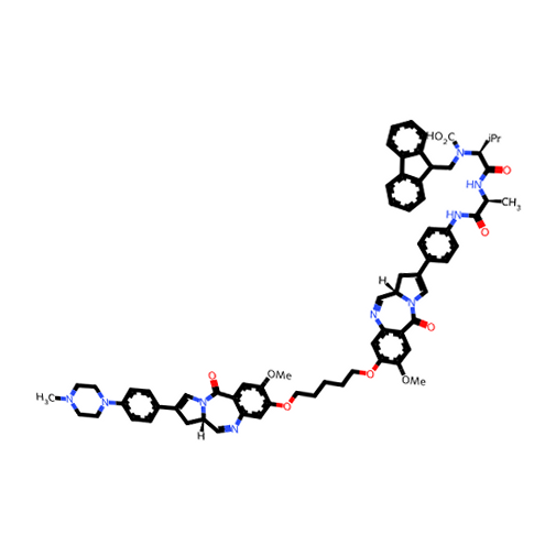 COc1cc2c(cc1OCCCCCOc1cc3c(cc1OC)C(=O)N1C=C(c4ccc(N5CCN(C)CC5)cc4)C[C@H]1C=N3)N=C[C@@H]1CC(c3ccc(NC(=O)[C@H](C)NC(=O)[C@H](C(C)C)N(CC4c5ccccc5-c5ccccc54)C(=O)O)cc3)=CN1C2=O